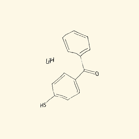 O=C(c1ccccc1)c1ccc(S)cc1.[LiH]